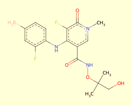 Bc1ccc(Nc2c(C(=O)NOC(C)(C)CO)cn(C)c(=O)c2F)c(F)c1